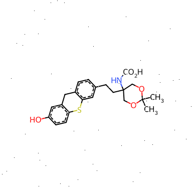 CC1(C)OCC(CCc2ccc3c(c2)Sc2ccc(O)cc2C3)(NC(=O)O)CO1